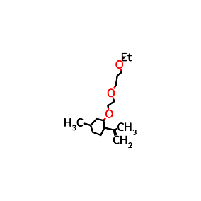 C=C(C)C1CCC(C)CC1OCCOCCCOCC